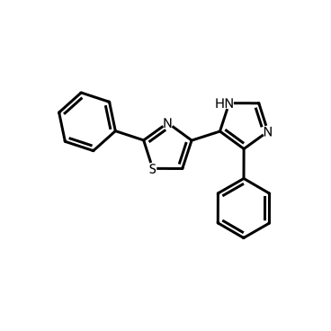 c1ccc(-c2nc(-c3[nH]cnc3-c3ccccc3)cs2)cc1